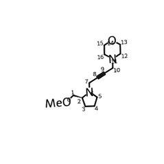 COC[C@@H]1CCCN1CC#CCN1CCOCC1